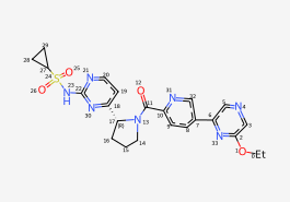 CCOc1cncc(-c2ccc(C(=O)N3CCC[C@@H]3c3ccnc(NS(=O)(=O)C4CC4)n3)nc2)n1